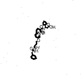 O=C(O)CC(NC(=O)c1ccc2ccc(OCCCNC(=O)NCc3ccccc3)cn2c1=O)c1ccccc1